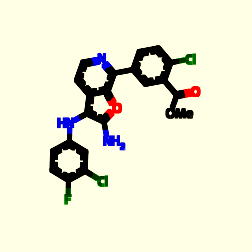 COC(=O)c1cc(-c2nccc3c(Nc4ccc(F)c(Cl)c4)c(N)oc23)ccc1Cl